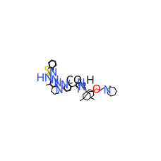 Cc1c(Nc2nc3ccccc3s2)nnc2c1CCCN2c1ccc(-c2cnn(CC34CC5(C)CC(C)(C3)CC(OCCN3CCCCCC3)(C5)C4)c2C)c(C(=O)O)n1